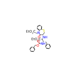 CCOC(=O)CN1C(=O)[C@@H](NC(C(=O)OCC)[C@H](Cc2ccccc2)NC(=O)OCc2ccccc2)CSc2ccccc21